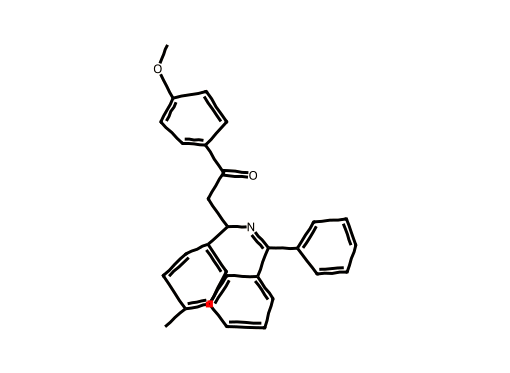 COc1ccc(C(=O)CC(N=C(c2ccccc2)c2ccccc2)c2ccc(C)cc2)cc1